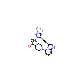 CC(=O)C1CCN(c2cccc3ncc(C#Cc4cnn(C)c4)n23)CC1